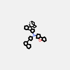 c1ccc2c(c1)-c1cc(N(c3ccc(-c4cccc5ccccc45)cc3)c3ccc4c(c3)oc3ccccc34)ccc1C21CCC2CC3CC1C3C2